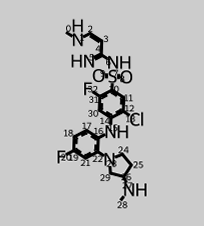 CN/C=C\C(=N)NS(=O)(=O)c1cc(Cl)c(Nc2ccc(F)cc2N2CCC(NC)C2)cc1F